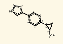 O=C(O)[C@H]1C[C@@H]1c1ccc(-c2c[nH]cn2)cc1